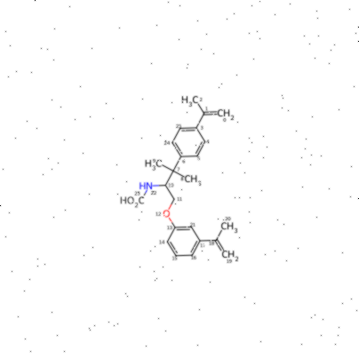 C=C(C)c1ccc(C(C)(C)C(COc2cccc(C(=C)C)c2)NC(=O)O)cc1